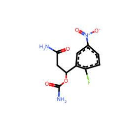 NC(=O)CC(OC(N)=O)c1cc([N+](=O)[O-])ccc1F